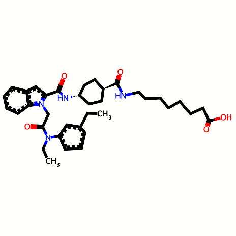 CCc1cccc(N(CC)C(=O)Cn2c(C(=O)N[C@H]3CC[C@H](C(=O)NCCCCCCCC(=O)O)CC3)cc3ccccc32)c1